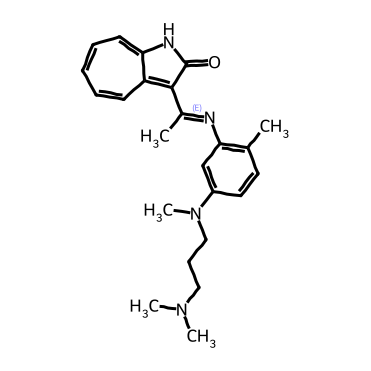 C/C(=N\c1cc(N(C)CCCN(C)C)ccc1C)c1c2cccccc-2[nH]c1=O